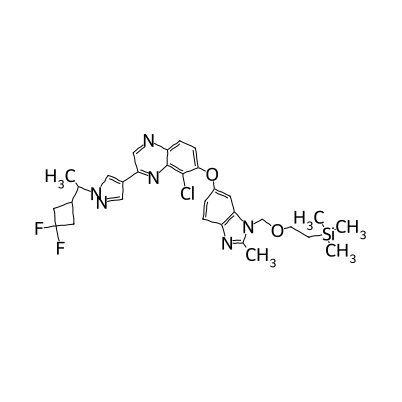 Cc1nc2ccc(Oc3ccc4ncc(-c5cnn(C(C)C6CC(F)(F)C6)c5)nc4c3Cl)cc2n1COCC[Si](C)(C)C